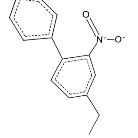 CCc1ccc(-c2ccccc2)c([N+](=O)[O-])c1